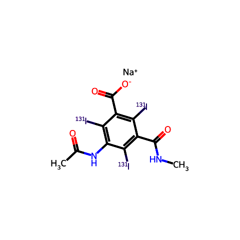 CNC(=O)c1c([131I])c(NC(C)=O)c([131I])c(C(=O)[O-])c1[131I].[Na+]